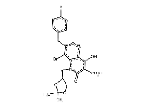 CCOC(=O)c1c(O)c2ncc(Cc3ccc(F)cc3)c(Br)c2n(C[C@H]2COC(C)(C)O2)c1=O